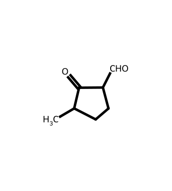 CC1CCC(C=O)C1=O